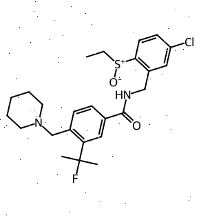 CC[S+]([O-])c1ccc(Cl)cc1CNC(=O)c1ccc(CN2CCCCC2)c(C(C)(C)F)c1